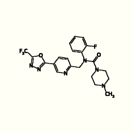 CN1CCN(C(=O)N(Cc2ccc(-c3nnc(C(F)(F)F)o3)cn2)c2ccccc2F)CC1